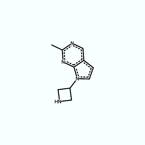 Cc1ncc2ccn(C3CNC3)c2n1